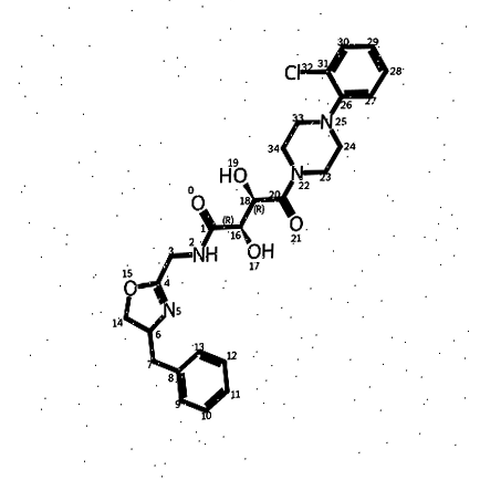 O=C(NCC1=NC(Cc2ccccc2)CO1)[C@H](O)[C@@H](O)C(=O)N1CCN(c2ccccc2Cl)CC1